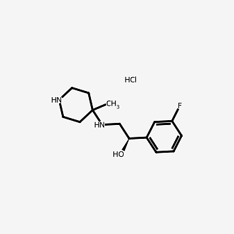 CC1(NC[C@H](O)c2cccc(F)c2)CCNCC1.Cl